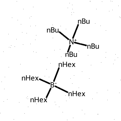 CCCCCC[B-](CCCCCC)(CCCCCC)CCCCCC.CCCC[N+](CCCC)(CCCC)CCCC